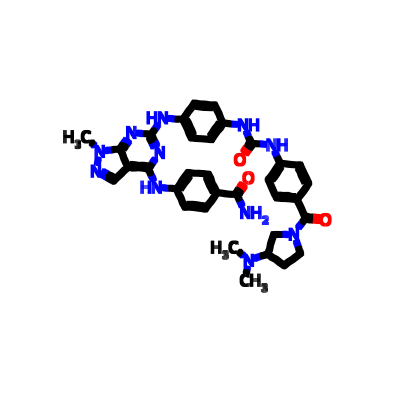 CN(C)C1CCN(C(=O)c2ccc(NC(=O)Nc3ccc(Nc4nc(Nc5ccc(C(N)=O)cc5)c5cnn(C)c5n4)cc3)cc2)C1